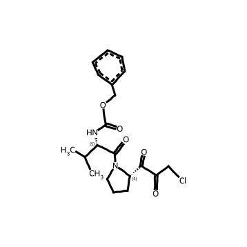 CC(C)[C@H](NC(=O)OCc1ccccc1)C(=O)N1CCC[C@H]1C(=O)C(=O)CCl